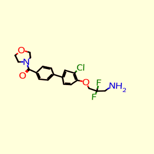 NCC(F)(F)COc1ccc(-c2ccc(C(=O)N3CCOCC3)cc2)cc1Cl